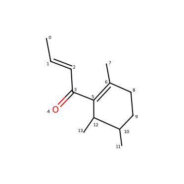 CC=CC(=O)C1=C(C)CCC(C)C1C